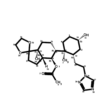 CC(=O)O[C@@H]1[C@@H]([C@@]2(C)CC[C@H](O)C[C@@H]2CCn2cncn2)CC[C@@]2(C)[C@H]1CCC21OCCO1